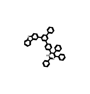 c1ccc(C2=NC(c3ccccc3)=C(c3ccccc3)C(c3ccc(-c4cc(-c5ccccc5)cc(-c5ccc6sc7ccccc7c6c5)c4)cc3)N2)cc1